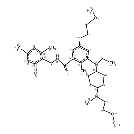 CCN(c1cc(OCCOC)cc(C(=O)NCc2c(C)cc(C)[nH]c2=O)c1C)C1CCC(N(C)CCOC)CC1